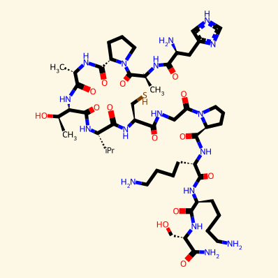 CC(C)[C@H](NC(=O)[C@@H](NC(=O)[C@H](C)NC(=O)[C@@H]1CCCN1C(=O)[C@H](C)NC(=O)[C@@H](N)Cc1c[nH]cn1)[C@@H](C)O)C(=O)N[C@@H](CS)C(=O)NCC(=O)N1CCC[C@H]1C(=O)N[C@@H](CCCCN)C(=O)N[C@@H](CCCCN)C(=O)N[C@@H](CO)C(N)=O